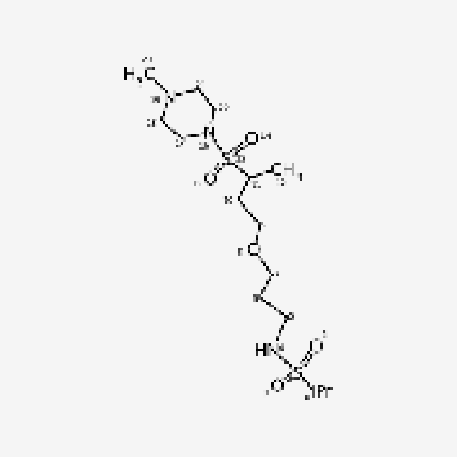 CC(C)S(=O)(=O)NCCCOCCC(C)S(=O)(=O)N1CCN(C)CC1